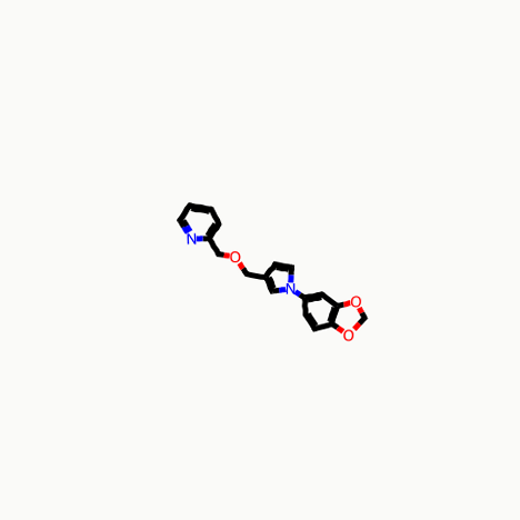 c1ccc(COCc2ccn(-c3ccc4c(c3)OCO4)c2)nc1